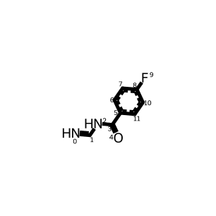 N=CNC(=O)c1ccc(F)cc1